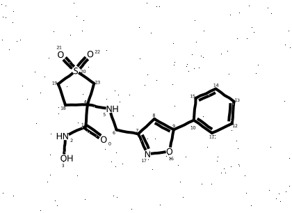 O=C(NO)C1(NCc2cc(-c3ccccc3)on2)CCS(=O)(=O)C1